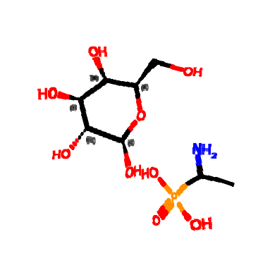 CC(N)P(=O)(O)O.OC[C@H]1O[C@@H](O)[C@H](O)[C@@H](O)[C@H]1O